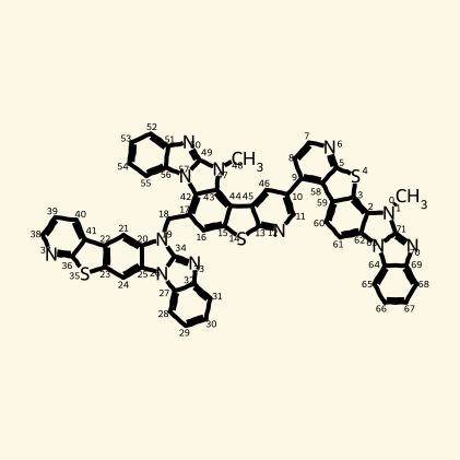 Cn1c2c3sc4nccc(-c5cnc6sc7cc(Cn8c9cc%10c(cc9n9c%11ccccc%11nc89)sc8ncccc8%10)c8c(c7c6c5)n(C)c5nc6ccccc6n85)c4c3ccc2n2c3ccccc3nc12